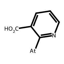 O=C(O)c1cccnc1[At]